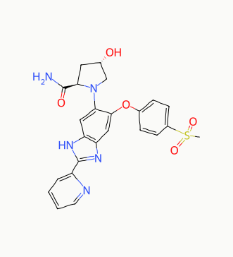 CS(=O)(=O)c1ccc(Oc2cc3nc(-c4ccccn4)[nH]c3cc2N2C[C@@H](O)C[C@@H]2C(N)=O)cc1